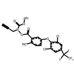 C#CCN(OC(=O)c1cc(Oc2c(Cl)cc(C(F)(F)C(F)(F)F)cc2Cl)ccc1C#N)C(=O)OCCC